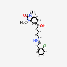 Cn1c(=O)n(C)c2cc(C(O)CCCCNCCc3ccccc3Cl)ccc21